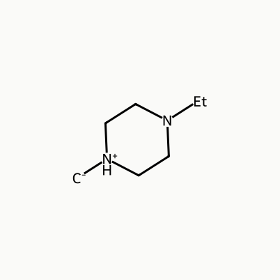 [CH2-][NH+]1CCN(CC)CC1